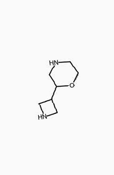 C1COC(C2CNC2)CN1